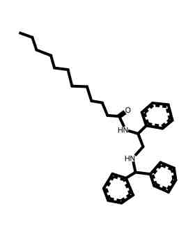 CCCCCCCCCCCC(=O)NC(CNC(c1ccccc1)c1ccccc1)c1ccccc1